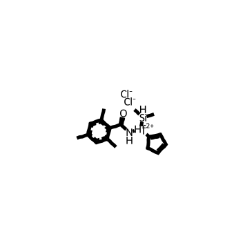 Cc1cc(C)c(C(=O)[NH][Hf+2]([C]2=CC=CC2)[SiH](C)C)c(C)c1.[Cl-].[Cl-]